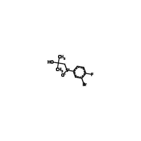 CC(C)(O)C[S+]([O-])c1ccc(F)c(Br)c1